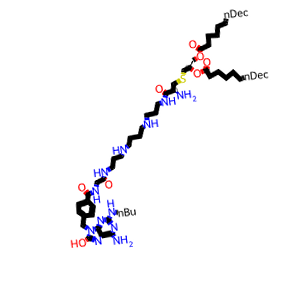 CCCCCCCCCCCCCCCC(=O)OC[C@@H](CSC[C@H](N)C(=O)NCCCNCCCCNCCCNC(=O)CNC(=O)c1ccc(Cn2c(O)nc3c(N)nc(NCCCC)nc32)cc1)OC(=O)CCCCCCCCCCCCCCC